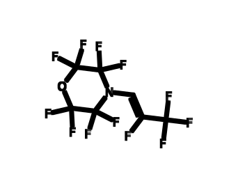 FC(=CN1C(F)(F)C(F)(F)OC(F)(F)C1(F)F)C(F)(F)F